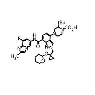 Cc1cn2cc(NC(=O)c3ccc(N4CCN(C(=O)O)C(C(C)(C)C)C4)c4cn(CC5(OC6CCCCO6)CC5)nc34)cc(F)c2n1